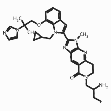 Cn1c(-c2cc3cccc(OCC(C)(C)n4ccnc4)c3n2CC2CC2)nc2cc3c(nc21)CCN(CC(N)CF)C3=O